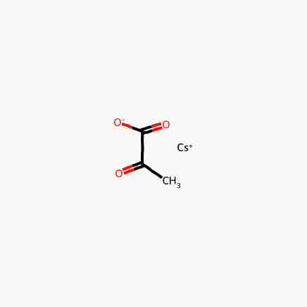 CC(=O)C(=O)[O-].[Cs+]